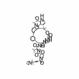 CCn1c(C2=C(C(C)OC)NCC=C2)c2c3cc(ccc31)-c1cccc(c1)CC(NC(=O)C(C(C)C)N1CO[C@@]3(CCN(C(=O)C#CC(C)(C)N4CCC4)C3)C1=O)C(=O)N1CCC[C@H](N1)C(=O)OCC(C)(C)C2